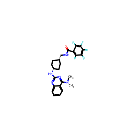 CN(C)c1nc(N[C@H]2CC[C@@H](CNC(=O)c3c(F)c(F)c(F)c(F)c3F)CC2)nc2ccccc12